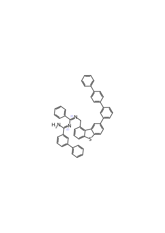 N/C(=N\C(=N/Cc1cccc2sc3ccc(-c4cccc(-c5ccc(-c6ccccc6)cc5)c4)cc3c12)c1ccccc1)c1cccc(-c2ccccc2)c1